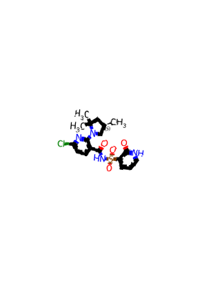 C[C@@H]1CN(c2nc(Cl)ccc2C(=O)NS(=O)(=O)c2ccc[nH]c2=O)C(C)(C)C1